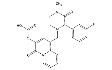 CN1CCN(Cc2cc(OC(=O)O)c(=O)n3ccccc23)C(c2cccc(F)c2)C1=O